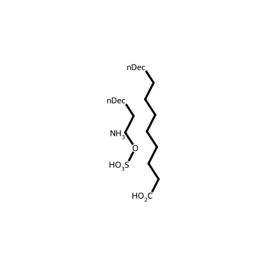 CCCCCCCCCCCCCCCCCC(=O)O.CCCCCCCCCCCCOS(=O)(=O)O.N